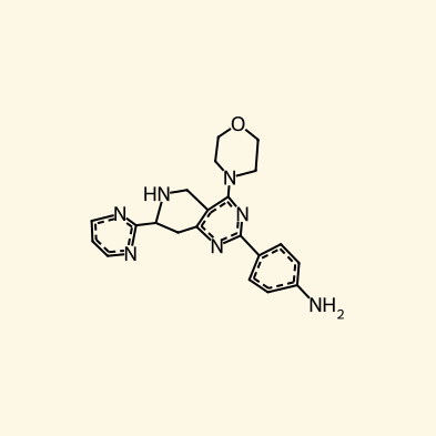 Nc1ccc(-c2nc3c(c(N4CCOCC4)n2)CNC(c2ncccn2)C3)cc1